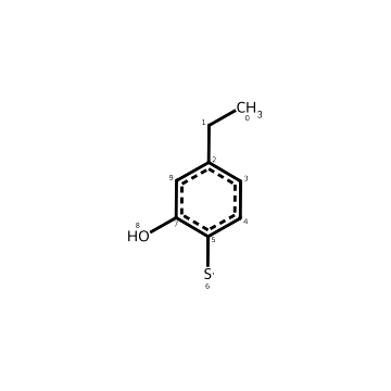 CCc1ccc([S])c(O)c1